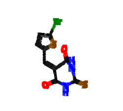 O=C1NC(=S)NC(=O)C1=Cc1ccc(Br)s1